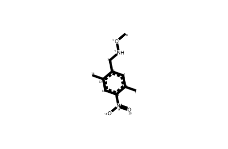 CONCc1cc(C)c([N+](=O)[O-])cc1C